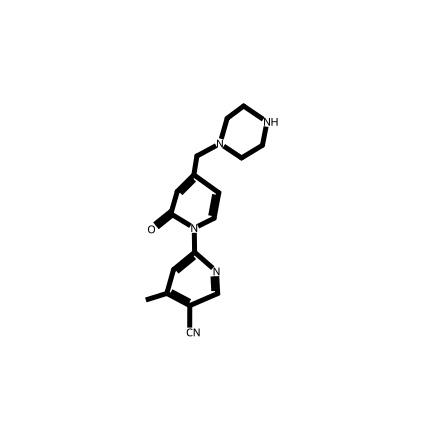 Cc1cc(-n2ccc(CN3CCNCC3)cc2=O)ncc1C#N